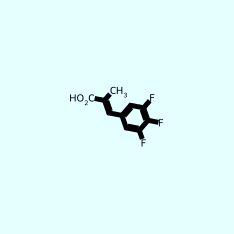 CC(=Cc1cc(F)c(F)c(F)c1)C(=O)O